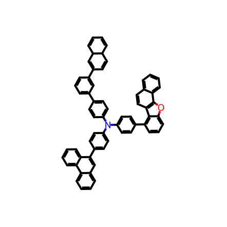 C1=CC2C=CC(c3cccc(-c4ccc(N(c5ccc(-c6cc7ccccc7c7ccccc67)cc5)c5ccc(-c6cccc7oc8c9ccccc9ccc8c67)cc5)cc4)c3)=CC2C=C1